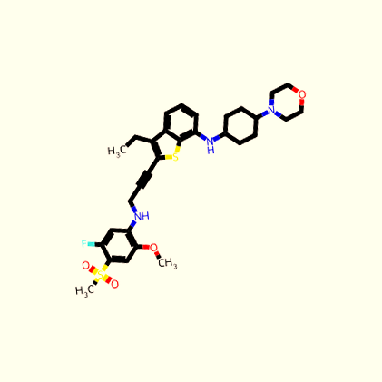 CCc1c(C#CCNc2cc(F)c(S(C)(=O)=O)cc2OC)sc2c(NC3CCC(N4CCOCC4)CC3)cccc12